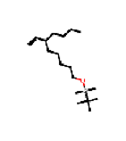 C=CC(CCCC)CCCCCO[Si](C)(C)C(C)(C)C